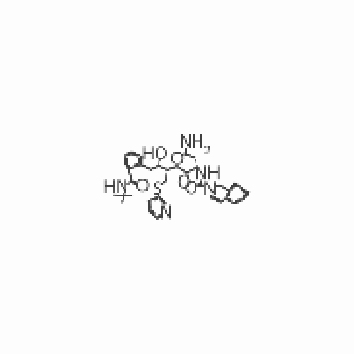 CC(C)(C)NC(=O)c1ccccc1C[C@@H](O)[C@H](CSc1cccnc1)CC(=O)[C@H](CC(N)=O)NC(=O)N1C=Cc2ccccc2C1